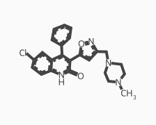 CN1CCN(Cc2cc(-c3c(-c4ccccc4)c4cc(Cl)ccc4[nH]c3=O)on2)CC1